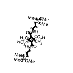 CO[Si](CCCNC(=O)C1C(C)(C(=O)O)C(C(=O)NCCC[Si](OC)(OC)OC)C1(C)C(=O)O)(OC)OC